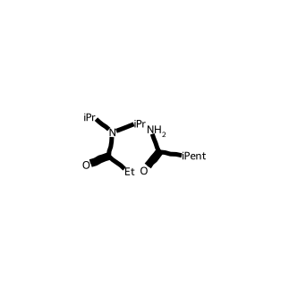 CCC(=O)N(C(C)C)C(C)C.CCCC(C)C(N)=O